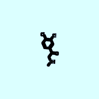 CBCC(=O)c1ccc(Cl)c(Cl)c1